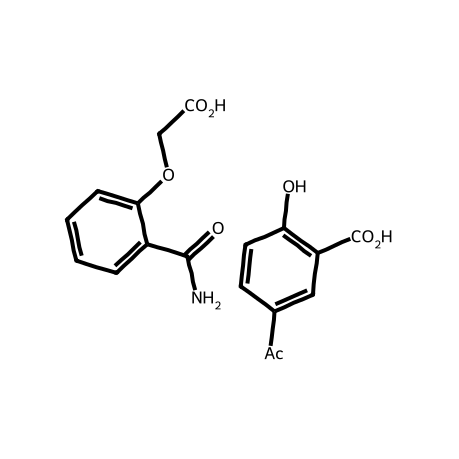 CC(=O)c1ccc(O)c(C(=O)O)c1.NC(=O)c1ccccc1OCC(=O)O